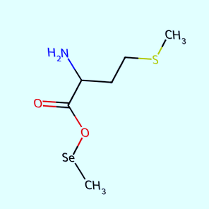 CSCCC(N)C(=O)O[Se]C